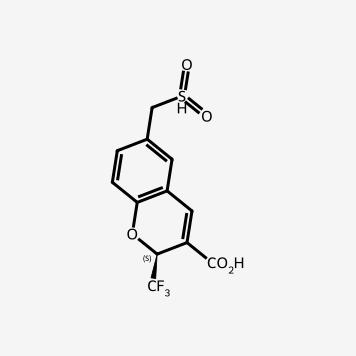 O=C(O)C1=Cc2cc(C[SH](=O)=O)ccc2O[C@@H]1C(F)(F)F